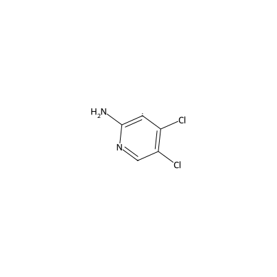 Nc1[c]c(Cl)c(Cl)cn1